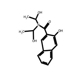 CC(O)N(C(=O)c1cc2ccccc2cc1O)C(C)O